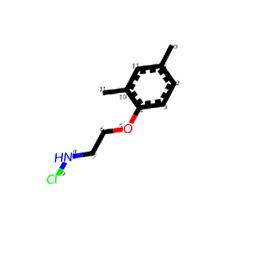 Cc1ccc(OCCNCl)c(C)c1